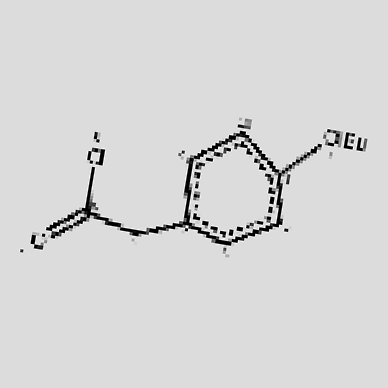 CC(C)COc1ccc(CC(=O)Cl)cc1